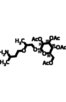 CC(=O)OC[C@H]1O[C@H](OCC(C)OCCC(C)N)[C@@H](OC(C)=O)[C@@H](OC(C)=O)[C@@H]1OC(C)=O